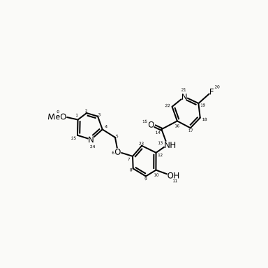 COc1ccc(COc2ccc(O)c(NC(=O)c3ccc(F)nc3)c2)nc1